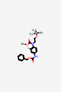 CC(C)(C)OC(=O)N(CCO[Si](C)(C)C(C)(C)C)c1ccc(NC(=O)OCc2ccccc2)cc1F